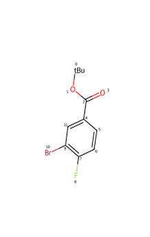 CC(C)(C)OC(=O)c1ccc(F)c(Br)c1